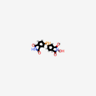 O=C1NC(=O)c2cc(Pc3ccc4c(c3)C(=O)N(O)C4=O)ccc21